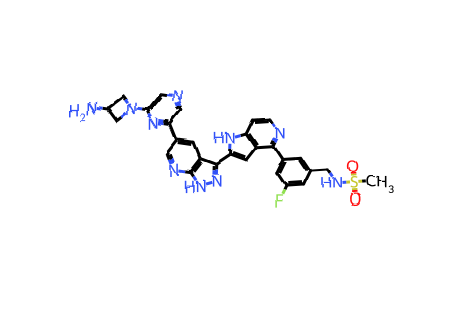 CS(=O)(=O)NCc1cc(F)cc(-c2nccc3[nH]c(-c4n[nH]c5ncc(-c6cncc(N7CC(N)C7)n6)cc45)cc23)c1